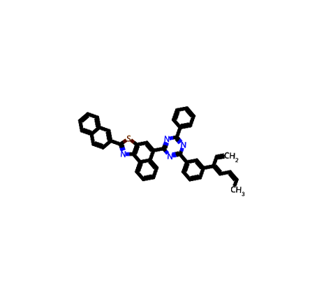 C=C/C(=C\C=C/C)c1cccc(-c2nc(-c3ccccc3)nc(-c3cc4sc(-c5ccc6ccccc6c5)nc4c4ccccc34)n2)c1